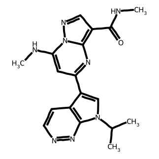 CNC(=O)c1cnn2c(NC)cc(-c3cn(C(C)C)c4nnccc34)nc12